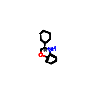 c1ccc2c(c1)N[C@H](C1CCCCC1)CO2